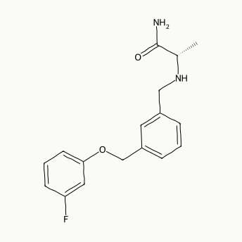 C[C@H](NCc1cccc(COc2cccc(F)c2)c1)C(N)=O